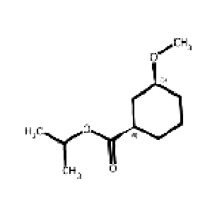 CO[C@H]1CCC[C@@H](C(=O)OC(C)C)C1